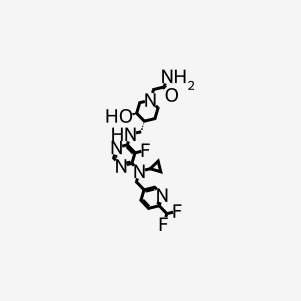 NC(=O)CN1CC[C@H](CNc2ncnc(N(Cc3ccc(C(F)F)nc3)C3CC3)c2F)[C@@H](O)C1